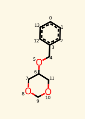 c1ccc(COC2COCOC2)cc1